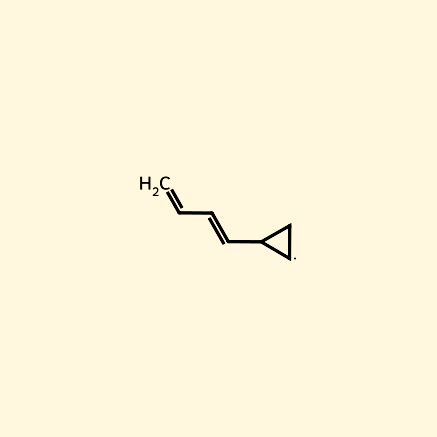 C=CC=CC1[CH]C1